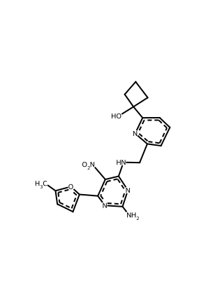 Cc1ccc(-c2nc(N)nc(NCc3cccc(C4(O)CCC4)n3)c2[N+](=O)[O-])o1